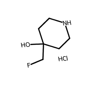 Cl.OC1(CF)CCNCC1